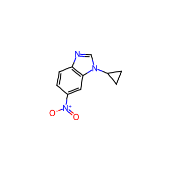 O=[N+]([O-])c1ccc2ncn(C3CC3)c2c1